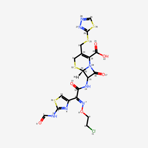 O=CNc1nc(C(=NOCCCl)C(=O)NC2C(=O)N3C(C(=O)O)=C(CSc4nncs4)CS[C@@H]23)cs1